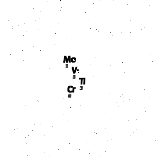 [Cr].[Mo].[Ti].[V]